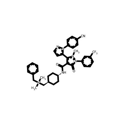 Cn1c(-c2ccnn2-c2ccc(C#N)cc2)c(C(=O)N[C@H]2CC[C@H](C[N+](C)(C)Cc3ccccc3)CC2)c(=O)n1-c1cccc(C(F)(F)F)c1